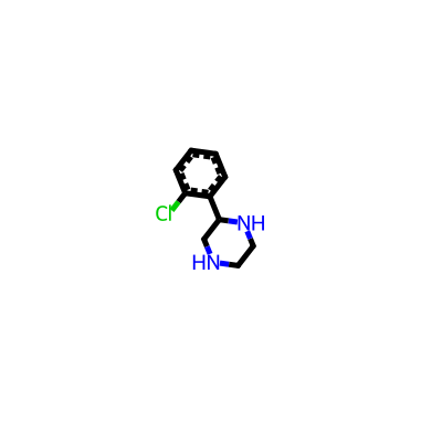 Clc1ccccc1C1CNCCN1